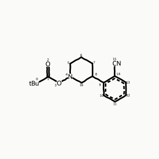 CC(C)(C)C(=O)ON1CCCC(c2ccccc2C#N)C1